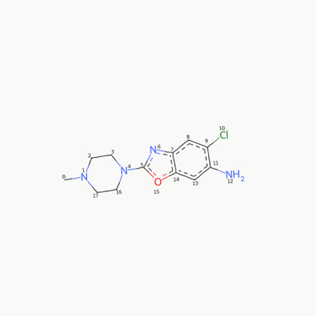 CN1CCN(c2nc3cc(Cl)c(N)cc3o2)CC1